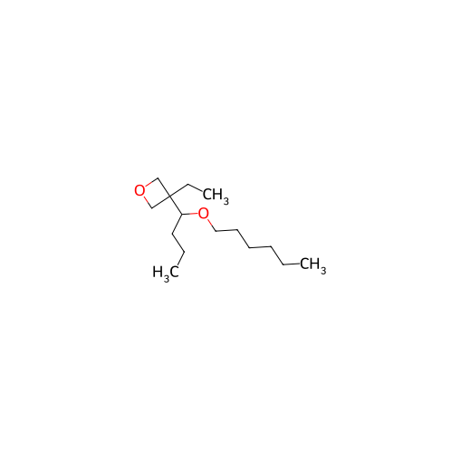 CCCCCCOC(CCC)C1(CC)COC1